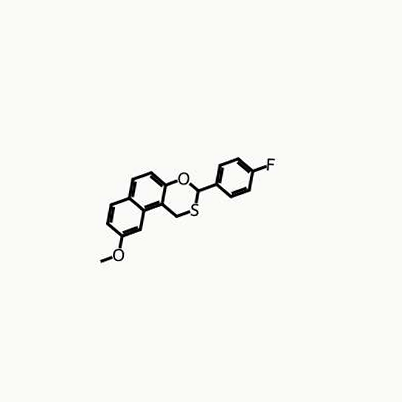 COc1ccc2ccc3c(c2c1)CSC(c1ccc(F)cc1)O3